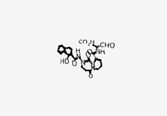 O=C[C@H](CC(=O)O)NC(=O)[C@@H]1CCCN2C(=O)CCN(NC(=O)c3ccc4ccccc4c3O)C(=O)N12